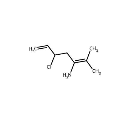 C=CC(Cl)CC(N)=C(C)C